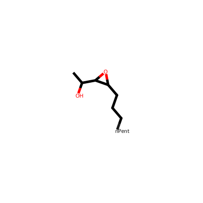 CCCCCCCCC1OC1C(C)O